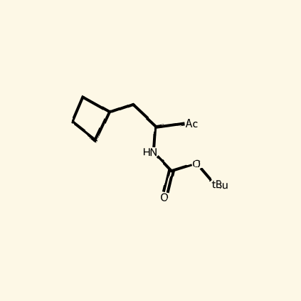 CC(=O)C(CC1CCC1)NC(=O)OC(C)(C)C